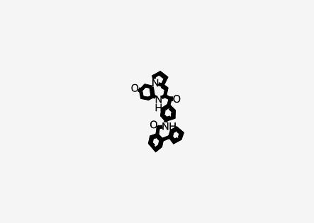 O=C1CCC2=C(C1)N1CC=CC1=CC(C(=O)c1ccc(NC(=O)c3ccccc3-c3ccccc3)cc1)N2